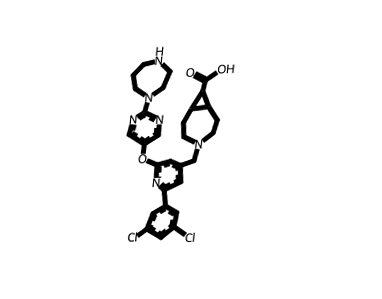 O=C(O)C1C2CCN(Cc3cc(Oc4cnc(N5CCCNCC5)nc4)nc(-c4cc(Cl)cc(Cl)c4)c3)CCC21